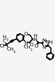 CN1C(=O)[C@@H](NC(=O)c2n[nH]c(Cc3ccccc3)n2)COc2ccc(C#CC(C)(C)Cl)cc21